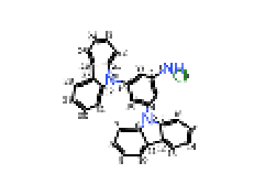 ClNc1cc(-n2c3ccccc3c3ccccc32)cc(-n2c3ccccc3c3ccccc32)c1